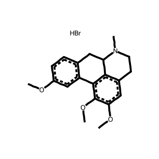 Br.COc1ccc2c(c1)-c1c(OC)c(OC)cc3c1C(C2)N(C)CC3